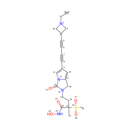 [2H]CN1CC(C#CC#Cc2cc3n(c2)C(=O)N(CCC(C)(C(=O)NO)S(C)(=O)=O)C3)C1